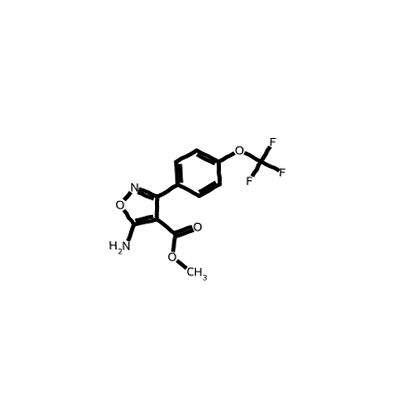 COC(=O)c1c(-c2ccc(OC(F)(F)F)cc2)noc1N